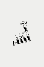 [C]=O.[C]=O.[C]=O.[C]=O.[C]=O.[Cu].[Fe]